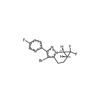 Fc1ccc(-c2nn3c(c2Br)CC[C@@H]2[C@H]3C2(F)F)nc1